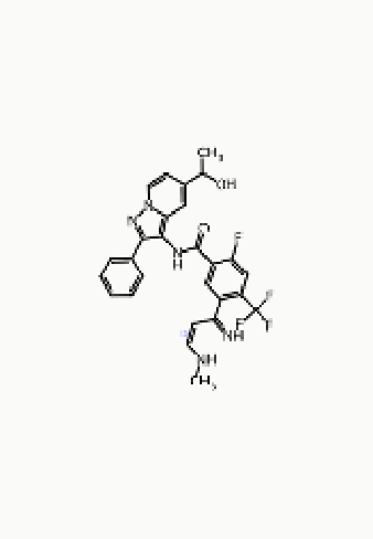 CN/C=C\C(=N)c1cc(C(=O)Nc2c(-c3ccccc3)nn3ccc(C(C)O)cc23)c(F)cc1C(F)(F)F